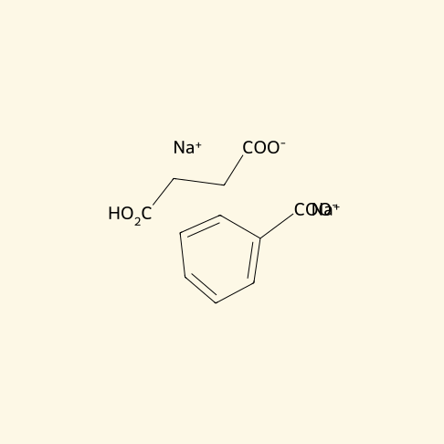 O=C([O-])CCC(=O)O.O=C([O-])c1ccccc1.[Na+].[Na+]